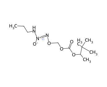 CCCN/[N+]([O-])=N/OCOC(=O)OC(C)C(C)(C)C